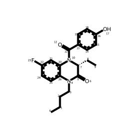 CCCCN1C(=O)[C@@H](CC)N(C(=O)c2ccc(O)cc2)c2cc(F)ccc21